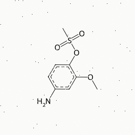 COc1cc(N)ccc1OS(C)(=O)=O